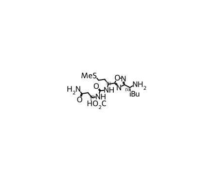 CCC(C)[C@H](N)c1noc([C@H](CCSC)NC(=O)N[C@@H](CC(N)=O)C(=O)O)n1